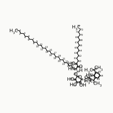 CCCCCCCCCCCCCCCCCCCCCCCCCCN[C@@H](CO[C@@H]1O[C@H](COC(=O)Nc2c(C(C)C)cccc2C(C)C)[C@H](O)[C@H](O)[C@H]1O)[C@H](O)[C@H](O)CCCCCCCCCCCCCC